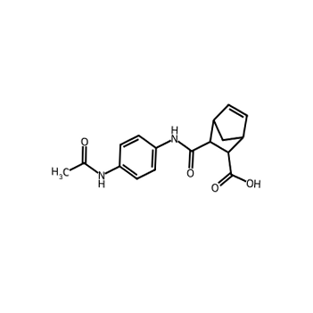 CC(=O)Nc1ccc(NC(=O)C2C3C=CC(C3)C2C(=O)O)cc1